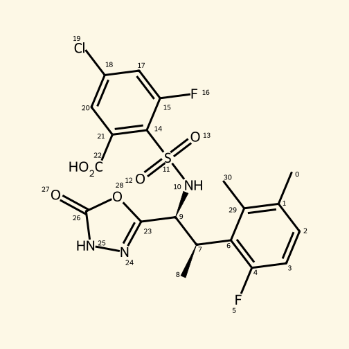 Cc1ccc(F)c([C@@H](C)[C@H](NS(=O)(=O)c2c(F)cc(Cl)cc2C(=O)O)c2n[nH]c(=O)o2)c1C